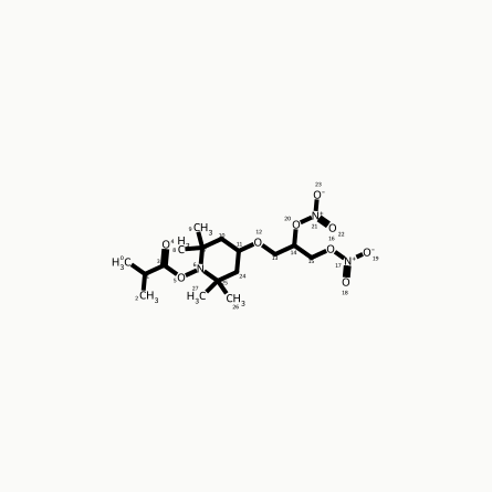 CC(C)C(=O)ON1C(C)(C)CC(OCC(CO[N+](=O)[O-])O[N+](=O)[O-])CC1(C)C